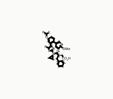 COc1ccc(-c2ccc(OC(F)F)cc2-c2nc(N(C(=O)[C@@H](CC(=O)O)Cc3ccccc3)C3CC3)sc2F)cn1